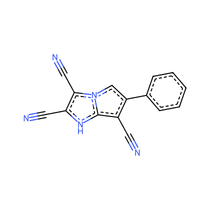 N#Cc1[nH]c2c(C#N)c(-c3ccccc3)cn2c1C#N